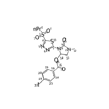 CCCS(=O)(=O)c1nnc(N2C(=O)N(C)CC2OC(=O)c2ccc(I)cc2)s1